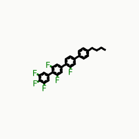 CCCCc1ccc(-c2ccc(-c3cc(F)c(-c4cc(F)c(F)c(F)c4)c(F)c3)c(F)c2)cc1